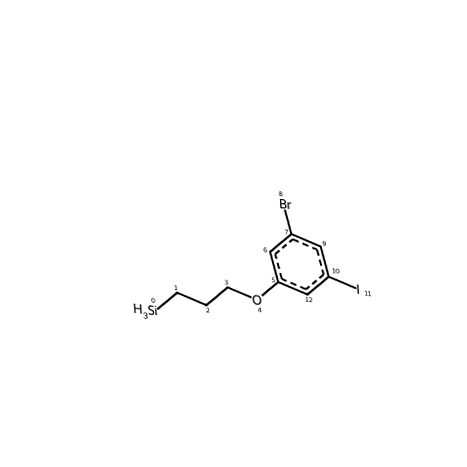 [SiH3]CCCOc1cc(Br)cc(I)c1